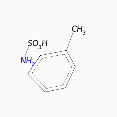 Cc1ccccc1.NS(=O)(=O)O